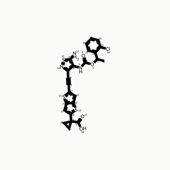 CC(OC(=O)Nc1c(C#Cc2cc3sc(C4(C(=O)O)CC4)cc3s2)nsc1N)c1ccccc1Cl